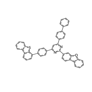 c1ccc(-c2ccc(-c3cc(-c4ccc(-c5cccc6c5sc5ccccc56)cc4)nc(-c4ccc5c(c4)oc4ccccc45)n3)cc2)cc1